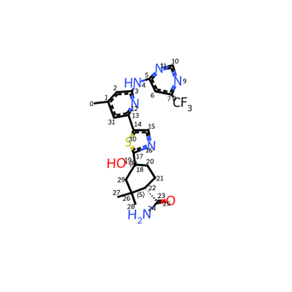 Cc1cc(Nc2cc(C(F)(F)F)ncn2)nc(-c2cnc([C@@]3(O)CC[C@H](C(N)=O)C(C)(C)C3)s2)c1